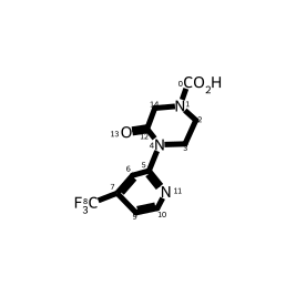 O=C(O)N1CCN(c2cc(C(F)(F)F)ccn2)C(=O)C1